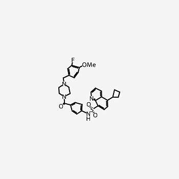 COc1ccc(CN2CCN(C(=O)c3ccc(NS(=O)(=O)c4ccc(C5CCC5)c5cccnc45)cc3)CC2)cc1F